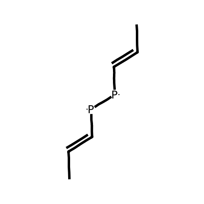 CC=C[P][P]C=CC